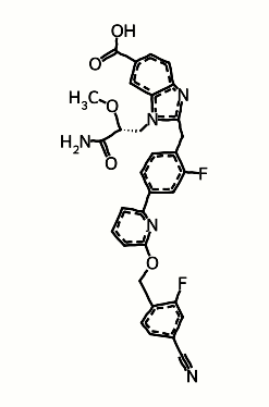 CO[C@H](Cn1c(Cc2ccc(-c3cccc(OCc4ccc(C#N)cc4F)n3)cc2F)nc2ccc(C(=O)O)cc21)C(N)=O